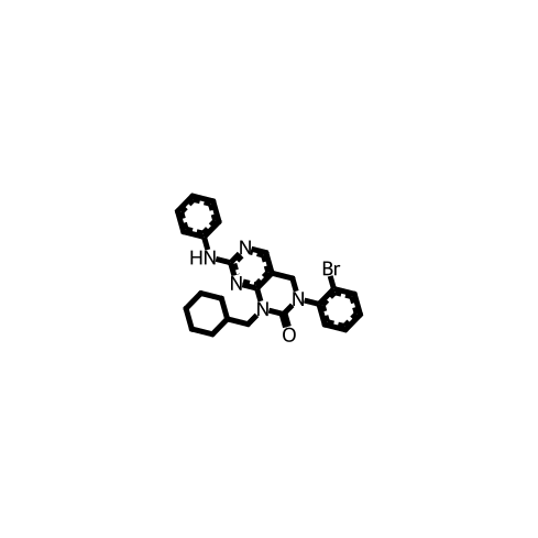 O=C1N(c2ccccc2Br)Cc2cnc(Nc3ccccc3)nc2N1CC1CCCCC1